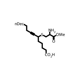 CCCCCCCCCCCCC#CC(CCCCC(=O)O)SCC(N)C(=O)OC